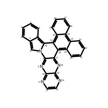 c1ccc2c(c1)cn1c3nc4nccnc4nc3c3c4ccccc4c4ccccc4c3c21